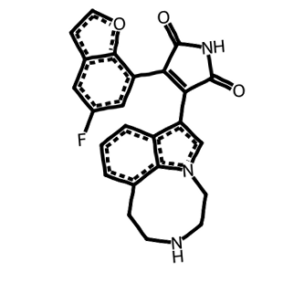 O=C1NC(=O)C(c2cc(F)cc3ccoc23)=C1c1cn2c3c(cccc13)CCNCC2